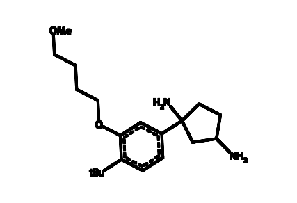 COCCCCOc1cc(C2(N)CCC(N)C2)ccc1C(C)(C)C